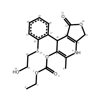 CCOC(=O)OC1=C(C)NC2=C(C(=O)OC2)C1c1ccccc1SCCO